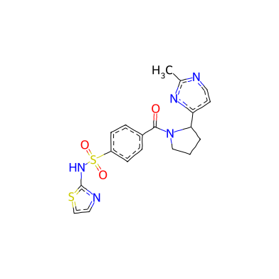 Cc1nccc(C2CCCN2C(=O)c2ccc(S(=O)(=O)Nc3nccs3)cc2)n1